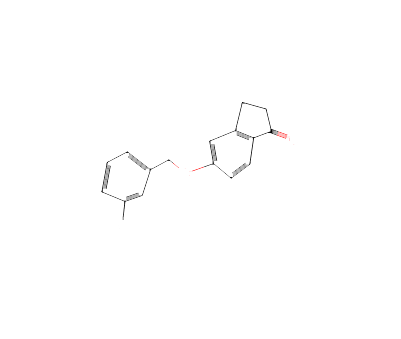 O=C1CCc2cc(OCc3cccc(C(F)(F)F)c3)ccc21